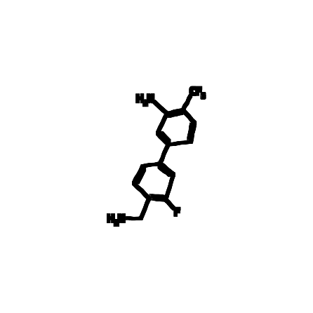 NCc1ccc(-c2ccc(C(F)(F)F)c(N)c2)cc1F